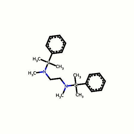 CN(CCN(C)[Si](C)(C)c1ccccc1)[Si](C)(C)c1ccccc1